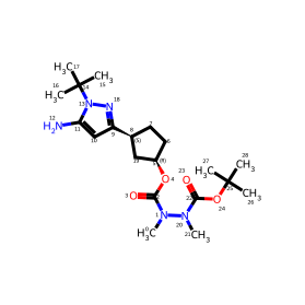 CN(C(=O)O[C@@H]1CC[C@H](c2cc(N)n(C(C)(C)C)n2)C1)N(C)C(=O)OC(C)(C)C